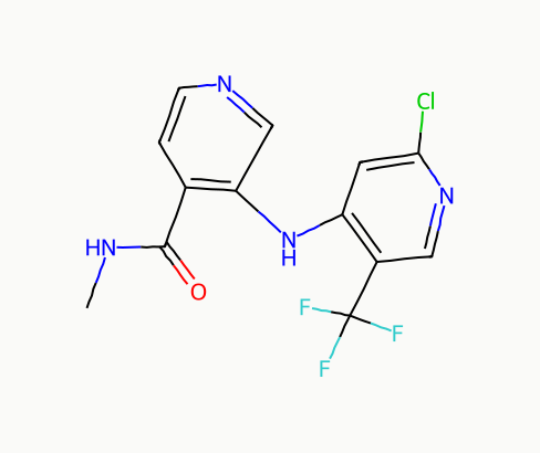 CNC(=O)c1ccncc1Nc1cc(Cl)ncc1C(F)(F)F